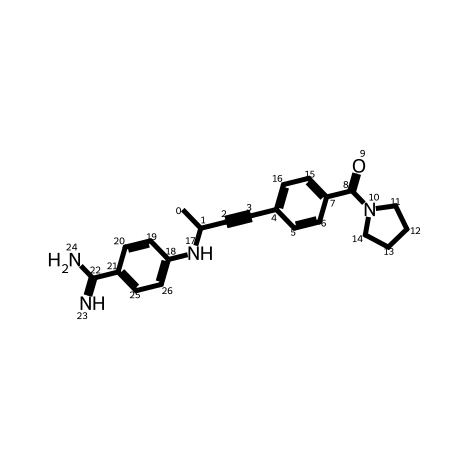 CC(C#Cc1ccc(C(=O)N2CCCC2)cc1)Nc1ccc(C(=N)N)cc1